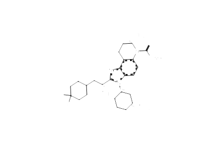 COC(=O)N1c2ccc3c(nc([C@H](O)CC4CCC(F)(F)CC4)n3[C@@H]3CCC[C@@H](C(=O)O)C3)c2CC[C@@H]1C